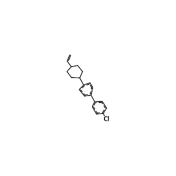 C=CC1CCC(c2ccc(-c3ccc(Cl)cc3)cc2)CC1